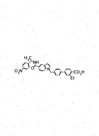 CCc1cc(-c2ccc(Cn3ccc4cc(C(=O)NC(C)c5ccc([N+](=O)[O-])cc5)ccc43)cc2)ccc1C(=O)O